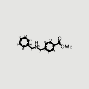 COC(=O)c1ccc(CNCc2ccccc2)cc1